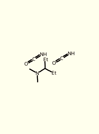 CCC(CC)N(C)C.N=C=O.N=C=O